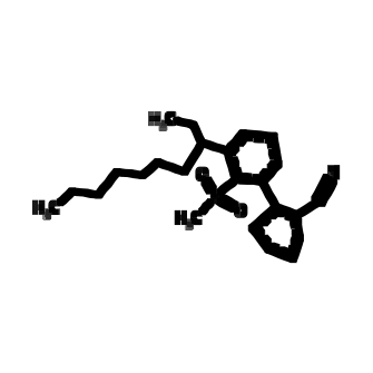 CCCCCCCC(CC)c1cccc(-c2ccccc2C#N)c1S(C)(=O)=O